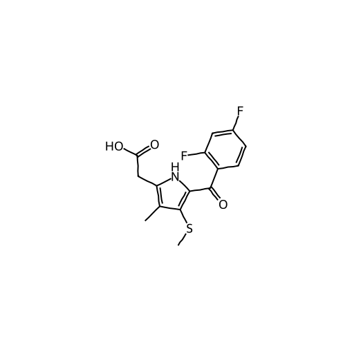 CSc1c(C(=O)c2ccc(F)cc2F)[nH]c(CC(=O)O)c1C